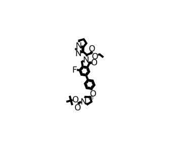 CCOC(=O)C(c1ncn2c1CCC2)N1Cc2c(F)cc(-c3ccc(O[C@@H]4CCN(C(=O)OC(C)(C)C)C4)cc3)cc2C1=O